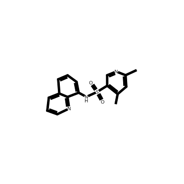 Cc1cc(C)c(S(=O)(=O)Nc2cccc3cccnc23)cn1